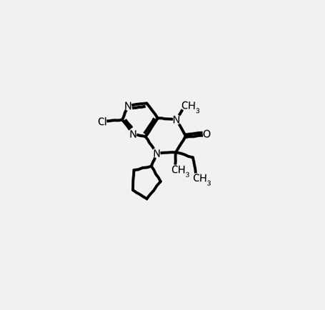 CCC1(C)C(=O)N(C)c2cnc(Cl)nc2N1C1CCCC1